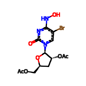 CC(=O)OC[C@@H]1C[C@@H](OC(C)=O)[C@H](n2cc(Br)c(NO)nc2=O)O1